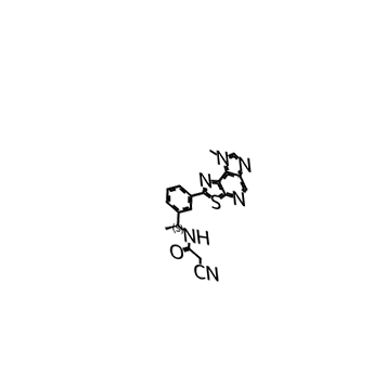 C[C@H](NC(=O)CC#N)c1cccc(-c2nc3c(ncc4ncn(C)c43)s2)c1